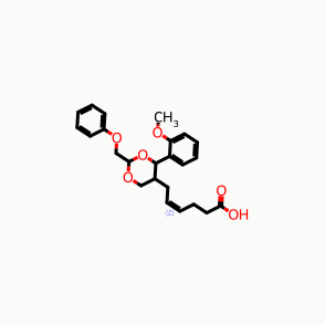 COc1ccccc1C1OC(COc2ccccc2)OCC1C/C=C\CCC(=O)O